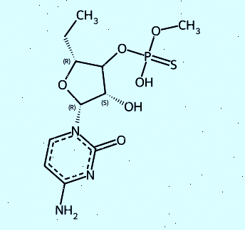 CC[C@H]1O[C@@H](n2ccc(N)nc2=O)[C@@H](O)C1OP(O)(=S)OC